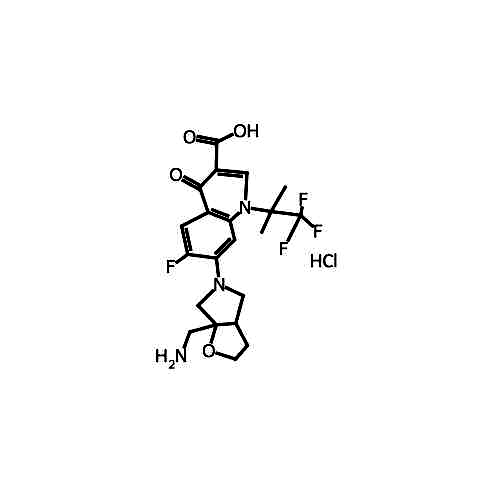 CC(C)(n1cc(C(=O)O)c(=O)c2cc(F)c(N3CC4CCOC4(CN)C3)cc21)C(F)(F)F.Cl